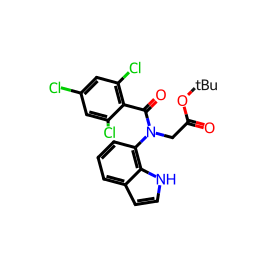 CC(C)(C)OC(=O)CN(C(=O)c1c(Cl)cc(Cl)cc1Cl)c1cccc2cc[nH]c12